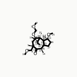 COCO[C@@H]1C[C@@](C)(COC)C(=O)[C@H](C)[C@@]23CC[C@@H](C)[C@]1(C)[C@H]2[C@H](OC)CC3